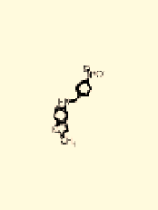 Cn1cc2cc(NCc3ccc([N+](=O)[O-])cc3)ccc2n1